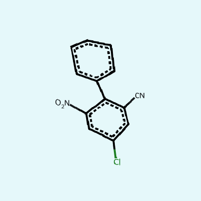 N#Cc1cc(Cl)cc([N+](=O)[O-])c1-c1ccccc1